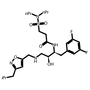 CCCN(CCC)S(=O)(=O)CCC(=O)N[C@@H](Cc1cc(F)cc(F)c1)[C@@H](O)CNCc1cc(CC(C)C)no1